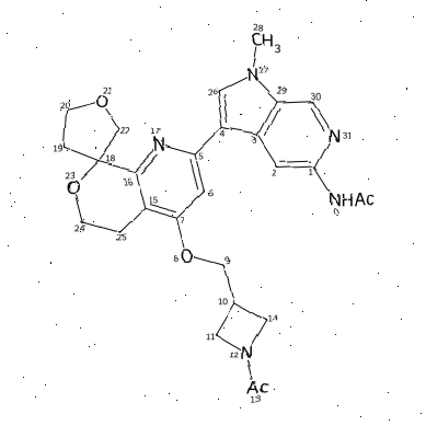 CC(=O)Nc1cc2c(-c3cc(OCC4CN(C(C)=O)C4)c4c(n3)C3(CCOC3)OCC4)cn(C)c2cn1